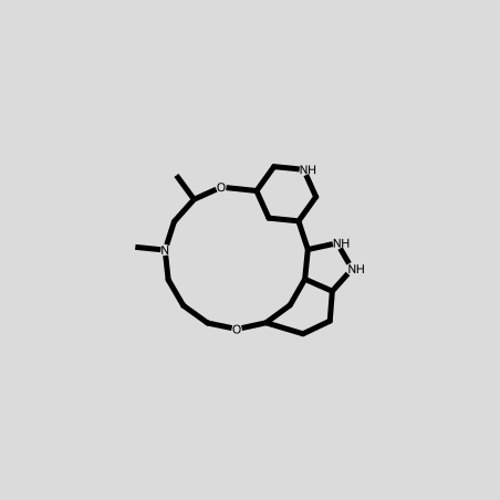 CC1CN(C)CCCOC2CCC3NNC(C4CNCC(C4)O1)C3C2